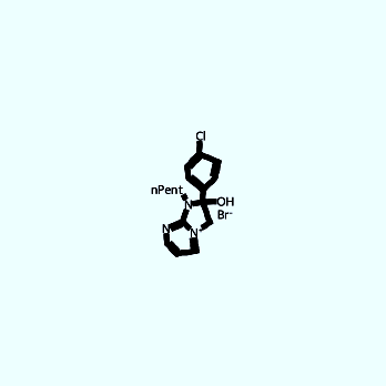 CCCCCN1c2nccc[n+]2CC1(O)c1ccc(Cl)cc1.[Br-]